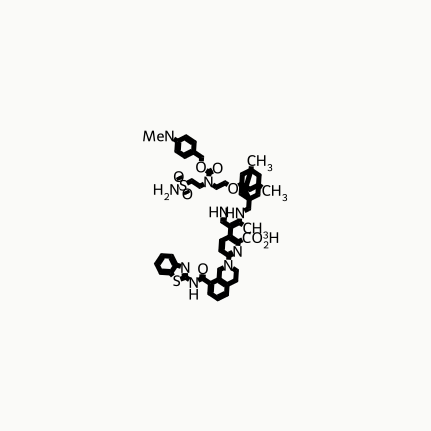 CNc1ccc(COC(=O)N(CCOC23CC4(C)CC(C)(CC(CN/C(C)=C(\C=N)c5ccc(N6CCc7cccc(C(=O)Nc8nc9ccccc9s8)c7C6)nc5C(=O)O)(C4)C2)C3)CCS(N)(=O)=O)cc1